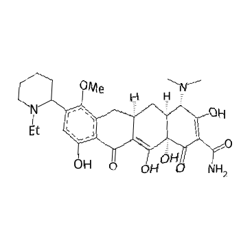 CCN1CCCCC1c1cc(O)c2c(c1OC)C[C@H]1C[C@H]3[C@H](N(C)C)C(O)=C(C(N)=O)C(=O)[C@@]3(O)C(O)=C1C2=O